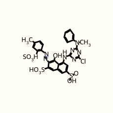 Cc1ccc(/N=N/c2c(S(=O)(=O)O)cc3cc(S(=O)O)cc(Nc4nc(Cl)nc(N(C)c5ccccc5)n4)c3c2O)c(S(=O)(=O)O)c1